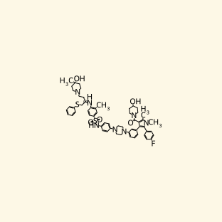 Cc1cc(S(=O)(=O)Nc2ccc(N3CCN(c4cccc(-c5c(C(=O)N6CCC(O)CC6)c(C)n(C)c5-c5ccc(F)cc5)c4)CC3)cc2)ccc1N[C@H](CCN1CCC(C)(O)CC1)CSc1ccccc1